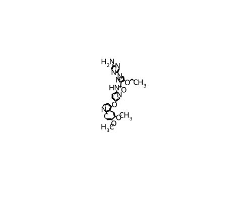 CCOc1cn(-c2cnc(N)cn2)nc1C(=O)Nc1ccc(Oc2ccnc3c2C=C(OC)C(OC)=CC3)cn1